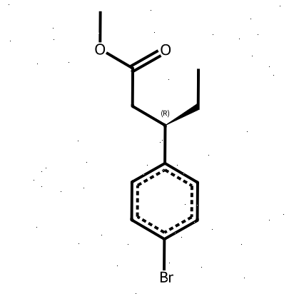 CC[C@H](CC(=O)OC)c1ccc(Br)cc1